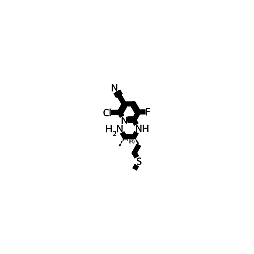 CSCC[C@@H](Nc1nc(Cl)c(C#N)cc1F)[C@H](C)N